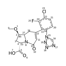 CO[C@@H]1C[C@@H](C(=O)O)N2C(=O)C=C(c3c(-n4cnnn4)ccc(Cl)c3F)CC12